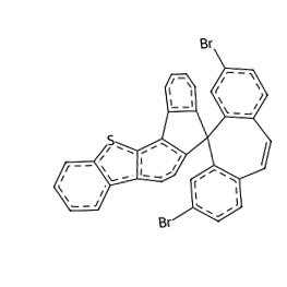 Brc1ccc2c(c1)C1(c3cc(Br)ccc3C=C2)c2ccccc2-c2c1ccc1c2sc2ccccc21